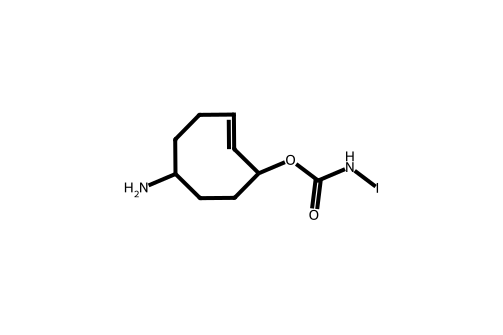 NC1CC/C=C/C(OC(=O)NI)CC1